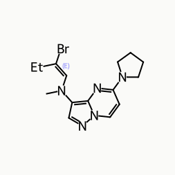 CC/C(Br)=C\N(C)c1cnn2ccc(N3CCCC3)nc12